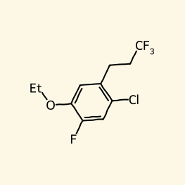 CCOc1cc(CCC(F)(F)F)c(Cl)cc1F